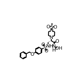 CS(=O)(=O)N1CCN([C@@H](CNS(=O)(=O)c2ccc(OCc3ccccc3)cc2)C(=O)NO)CC1